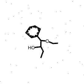 CCOC(c1ccccc1)C(O)CC